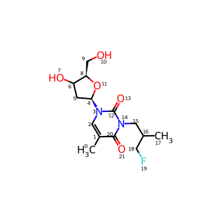 Cc1cn([C@H]2CC(O)[C@@H](CO)O2)c(=O)n(CC(C)CF)c1=O